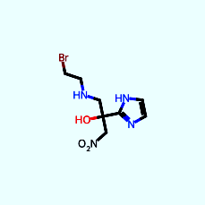 O=[N+]([O-])CC(O)(CNCCBr)c1ncc[nH]1